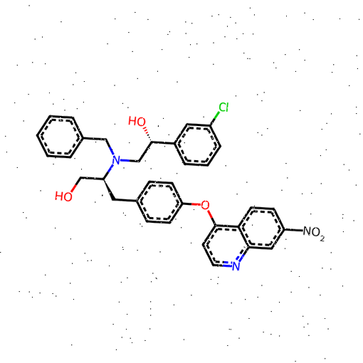 O=[N+]([O-])c1ccc2c(Oc3ccc(C[C@@H](CO)N(Cc4ccccc4)C[C@H](O)c4cccc(Cl)c4)cc3)ccnc2c1